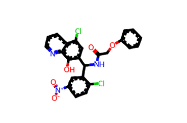 O=C(COc1ccccc1)NC(c1cc([N+](=O)[O-])ccc1Cl)c1cc(Cl)c2cccnc2c1O